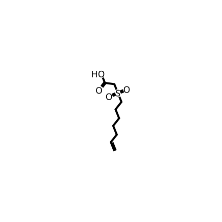 C=CCCCCCS(=O)(=O)CC(=O)O